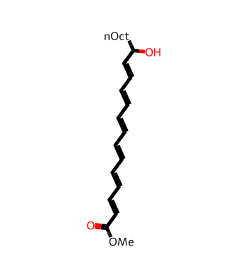 CCCCCCCCC(O)C=CC=CC=CC=CC=CC=CC(=O)OC